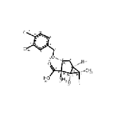 C[C@@]1(F)[C@@H]2C[C@@H](OCc3ccc(Cl)c(Cl)c3)[C@@](N)(C(=O)O)[C@@H]21